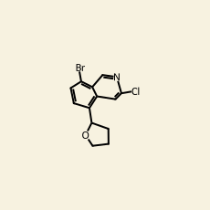 Clc1cc2c(C3CCCO3)ccc(Br)c2cn1